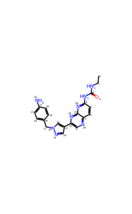 CCNC(=O)Nc1ccc2ncc(-c3cnn(Cc4ccc(N)cc4)c3)nc2n1